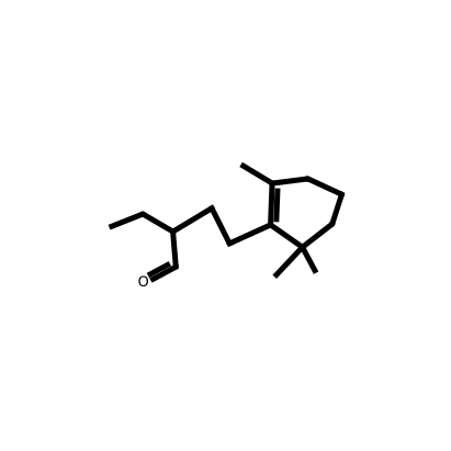 CCC(C=O)CCC1=C(C)CCCC1(C)C